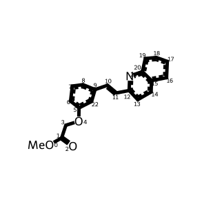 COC(=O)COc1cccc(C=Cc2ccc3ccccc3n2)c1